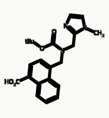 Cn1ccnc1CN(Cc1ccc(C(=O)O)c2ccccc12)C(=O)OC(C)(C)C